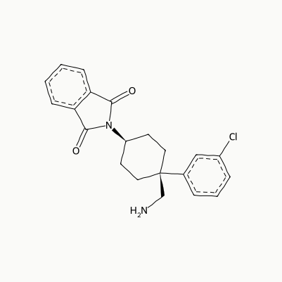 NC[C@]1(c2cccc(Cl)c2)CC[C@H](N2C(=O)c3ccccc3C2=O)CC1